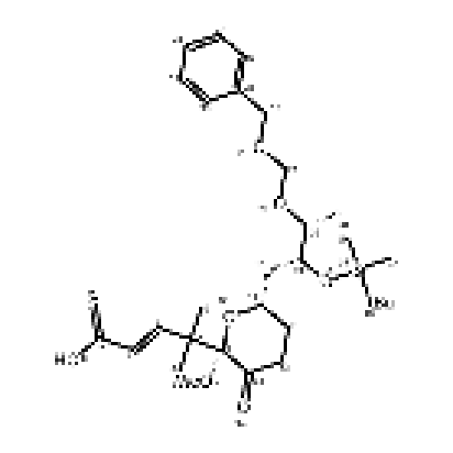 CO[C@]1(C(C)(C)C=CC(O)=S)O[C@H](C[C@@H](O[Si](C)(C)C(C)(C)C)[C@@H](C)OCOCc2ccccc2)CCC1=O